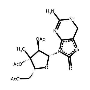 CC(=O)OC[C@H]1O[C@@H](n2c3c(sc2=O)CNC(N)=N3)[C@H](OC(C)=O)[C@@]1(C)OC(C)=O